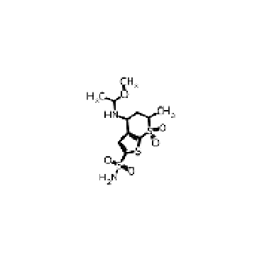 COC(C)NC1CC(C)S(=O)(=O)c2sc(S(N)(=O)=O)cc21